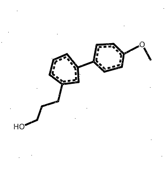 COc1ccc(-c2cccc(CCCO)c2)cc1